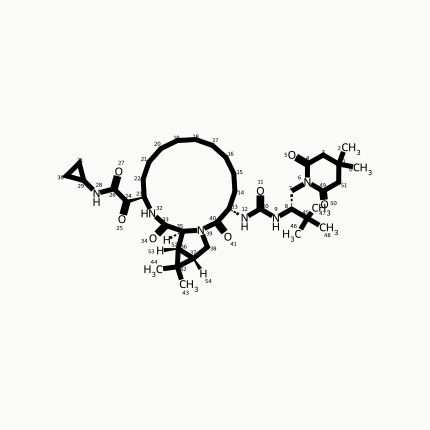 CC1(C)CC(=O)N(C[C@@H](NC(=O)N[C@H]2CCCCCCCCC[C@H](C(=O)C(=O)NC3CC3)NC(=O)[C@@H]3[C@@H]4[C@H](CN3C2=O)C4(C)C)C(C)(C)C)C(=O)C1